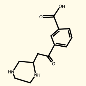 O=C(O)c1cccc(C(=O)CC2CNCCN2)c1